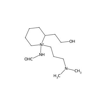 CN(C)CCC[N+]1(NC=O)CCCCC1CCO